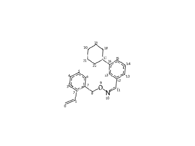 C=Cc1ccccc1CO/N=[C]\c1cccc(C2CCCCC2)c1